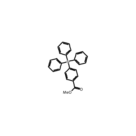 COC(=O)c1ccc([Si](c2ccccc2)(c2ccccc2)c2ccccc2)cc1